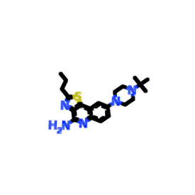 CCCc1nc2c(N)nc3ccc(N4CCN(C(C)(C)C)CC4)cc3c2s1